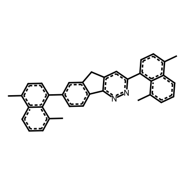 Cc1ccc(-c2ccc3c(c2)Cc2cc(-c4ccc(C)c5cccc(C)c45)nnc2-3)c2c(C)cccc12